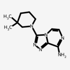 CC1(C)CCCN(c2nnc3c(N)nccn23)C1